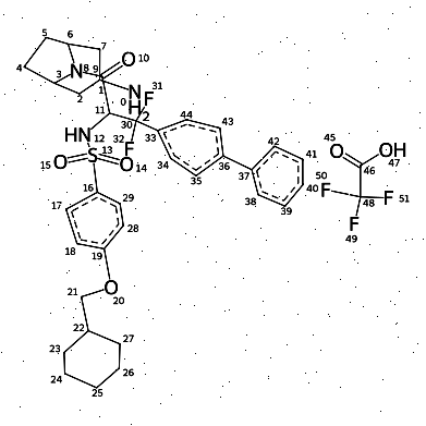 NC1CC2CCC(C1)N2C(=O)C(NS(=O)(=O)c1ccc(OCC2CCCCC2)cc1)C(F)(F)c1ccc(-c2ccccc2)cc1.O=C(O)C(F)(F)F